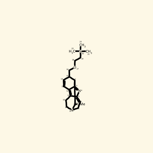 COC1C2C3=NC4=CCN1CCC4=C3C=CC2COCC[Si](C)(C)C